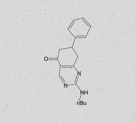 CCCCNc1ncc2c(n1)CC(c1ccccc1)CC2=O